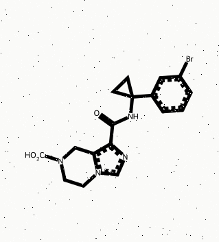 O=C(NC1(c2cccc(Br)c2)CC1)c1ncn2c1CN(C(=O)O)CC2